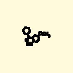 COc1ccc(O)c(C(=O)C2CCCCC2)c1